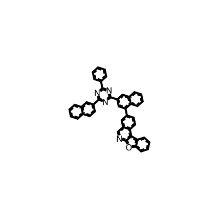 c1ccc(-c2nc(-c3ccc4ccccc4c3)nc(-c3cc(-c4ccc5c(cnc6oc7ccccc7c65)c4)c4ccccc4c3)n2)cc1